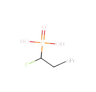 CCCCC(F)P(=O)(O)O